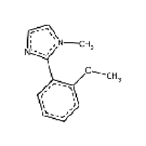 COc1ccccc1-c1nccn1C